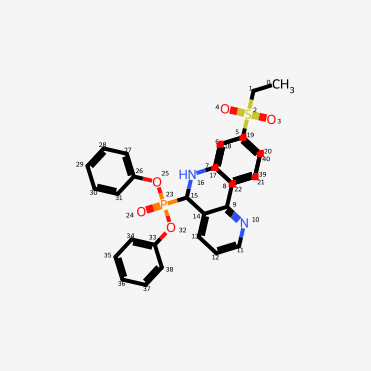 CCS(=O)(=O)c1ccc(-c2ncccc2C(Nc2ccccc2)P(=O)(Oc2ccccc2)Oc2ccccc2)cc1